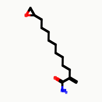 C=C(CCCCCCCCCC1CO1)C(N)=O